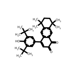 CC(C)(C)c1cc(C2=CC(=O)C(=O)c3cc4c(cc32)C(C)(C)CCC4(C)C)cc(C(C)(C)C)c1O